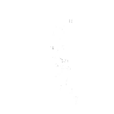 COc1ccc2ccc(S(=O)(=O)N[C@H]3CCN(Cc4ccc(C#N)cc4)C3=O)cc2c1